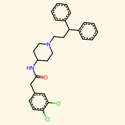 O=C(Cc1ccc(Cl)c(Cl)c1)NC1CCN(CCC(c2ccccc2)c2ccccc2)CC1